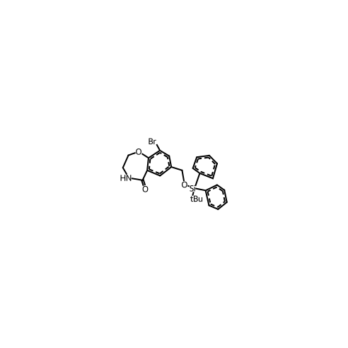 CC(C)(C)[Si](OCc1cc(Br)c2c(c1)C(=O)NCCO2)(c1ccccc1)c1ccccc1